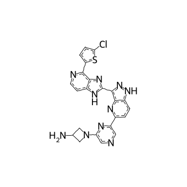 NC1CN(c2cncc(-c3ccc4[nH]nc(-c5nc6c(-c7ccc(Cl)s7)nccc6[nH]5)c4n3)n2)C1